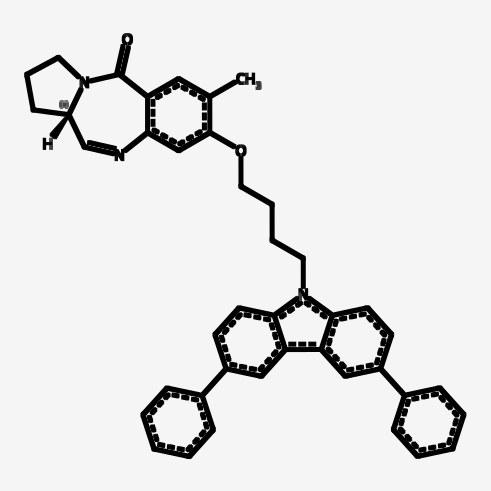 Cc1cc2c(cc1OCCCCn1c3ccc(-c4ccccc4)cc3c3cc(-c4ccccc4)ccc31)N=C[C@@H]1CCCN1C2=O